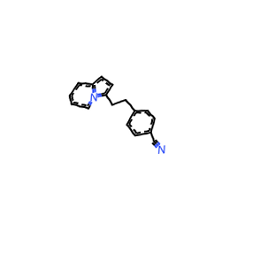 N#Cc1ccc(CCc2ccc3ccccn23)cc1